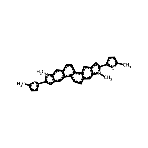 Cc1ccc(-c2cc3cc4c(ccc5c6cc7cc(-c8ccc(C)s8)n(C)c7cc6ccc45)cc3n2C)s1